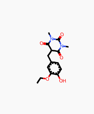 CCOc1cc(CC2C(=O)N(C)C(=O)N(C)C2=O)ccc1O